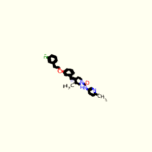 Cc1ccc(NC(=O)N2CC/C(=C\c3cccc(OCCc4cccc(F)c4)c3)C(C)C2)cn1